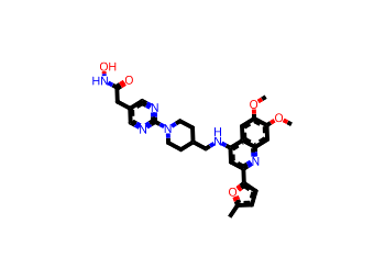 COc1cc2nc(-c3ccc(C)o3)cc(NCC3CCN(c4ncc(CC(=O)NO)cn4)CC3)c2cc1OC